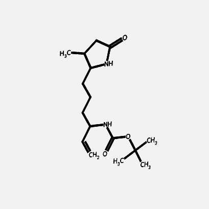 C=CC(CCCC1NC(=O)CC1C)NC(=O)OC(C)(C)C